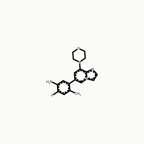 Cc1cc(F)c(N)cc1-c1cc(N2CCOCC2)c2nccn2c1